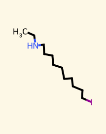 CCNCCCCCCCCCCI